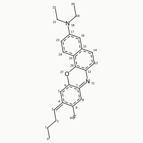 CCC/C=c1/cc2c(cc1F)=Nc1ccc3cc(N(CC)CC)ccc3c1O2